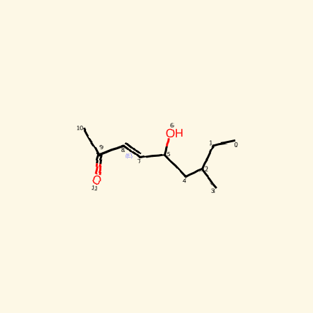 CCC(C)CC(O)/C=C/C(C)=O